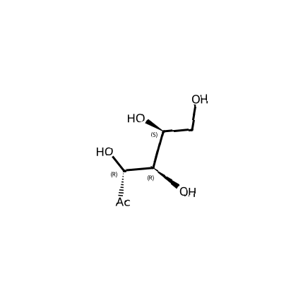 CC(=O)[C@H](O)[C@H](O)[C@@H](O)CO